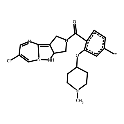 CN1CCC(Oc2cc(F)ccc2C(=O)N2CC3=C4N=CC(Cl)=CN4NC3C2)CC1